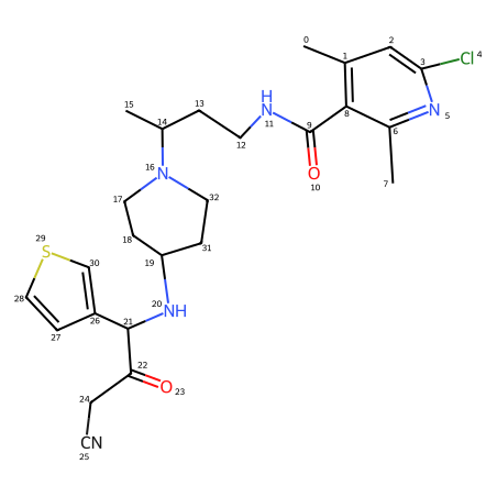 Cc1cc(Cl)nc(C)c1C(=O)NCCC(C)N1CCC(NC(C(=O)CC#N)c2ccsc2)CC1